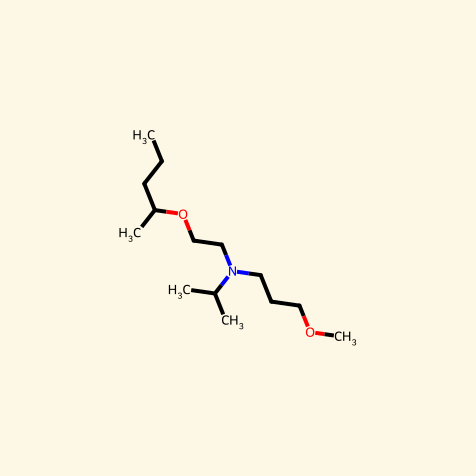 CCCC(C)OCCN(CCCOC)C(C)C